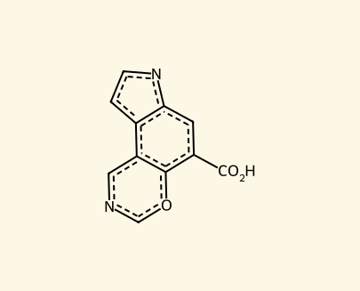 O=C(O)c1cc2nccc2c2cncoc12